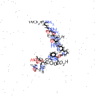 CC(N)C(=O)O.CC(O)CC(=O)OC(CC(=O)[O-])C[N+](C)(C)C.CCC(=O)C(=O)O.CN1CCCC1c1cccnc1.C[N+](C)(C)[O-].NC(=O)NCCCC(N)C(=O)O.O=C(O)CNC(=O)c1ccccc1.O=c1[nH]cnc2nc[nH]c12